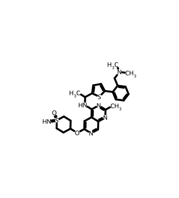 Cc1nc(NC(C)c2ccc(-c3ccccc3CN(C)C)s2)c2cc(OC3CCS(=N)(=O)CC3)ncc2n1